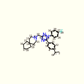 CC(C)c1ccc(-c2nc(CN3CCC4(CCCCC4)CC3)nn2-c2ccc(F)cc2)cc1